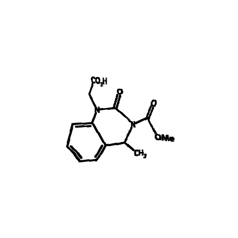 COC(=O)N1C(=O)N(CC(=O)O)c2ccccc2C1C